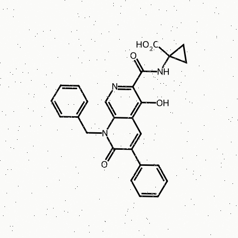 O=C(NC1(C(=O)O)CC1)c1ncc2c(cc(-c3ccccc3)c(=O)n2Cc2ccccc2)c1O